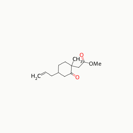 C=CCC1CCC(C)(CC(=O)OC)C(=O)C1